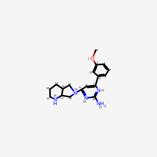 COc1cccc(-c2cc(N3CC4CCCNC4C3)nc(N)n2)c1